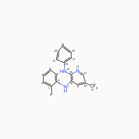 Cc1ccccc1Nc1cc(C(F)(F)F)cnc1Nc1ccccc1